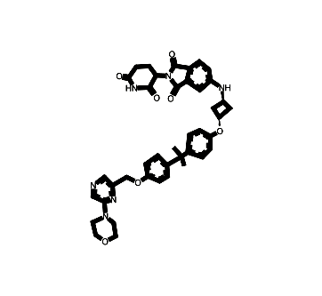 CC(C)(c1ccc(OCc2cncc(N3CCOCC3)n2)cc1)c1ccc(O[C@H]2C[C@H](Nc3ccc4c(c3)C(=O)N(C3CCC(=O)NC3=O)C4=O)C2)cc1